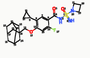 N=S(=O)(NC(=O)c1cc(C2CC2)c(OCC23CC4CC(CC(C4)C2)C3)cc1F)N1CCC1